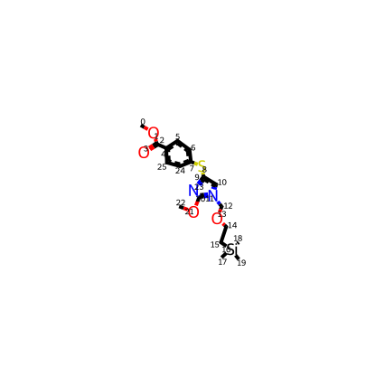 COC(=O)c1ccc(Sc2cn(COCC[Si](C)(C)C)c(OC)n2)cc1